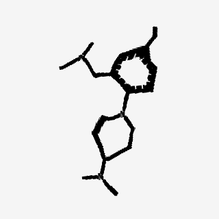 Cc1ccc(N2CCC(N(C)C)CC2)c(CN(C)C)c1